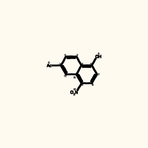 CC(=O)c1ccc2c(O)ccc([N+](=O)[O-])c2c1